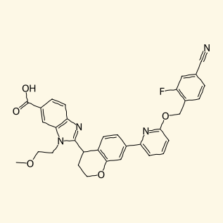 COCCn1c(C2CCOc3cc(-c4cccc(OCc5ccc(C#N)cc5F)n4)ccc32)nc2ccc(C(=O)O)cc21